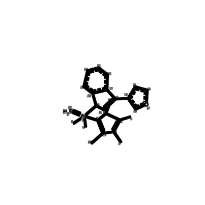 CC1=C(C)C(C)[C]([Zr]([CH3])([CH3])(=[SiH2])[CH]2C=C(c3ccoc3)c3ccccc32)=C1C